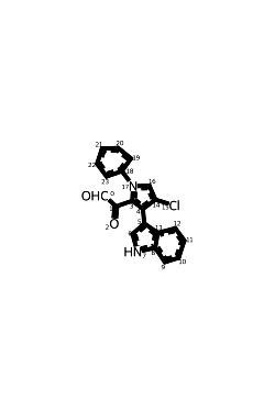 O=CC(=O)c1c(-c2c[nH]c3ccccc23)c(Cl)cn1-c1ccccc1